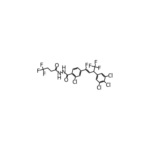 O=C(CCC(F)(F)F)NNC(=O)c1ccc(C(F)=CC(c2cc(Cl)c(Cl)c(Cl)c2)C(F)(F)F)cc1Cl